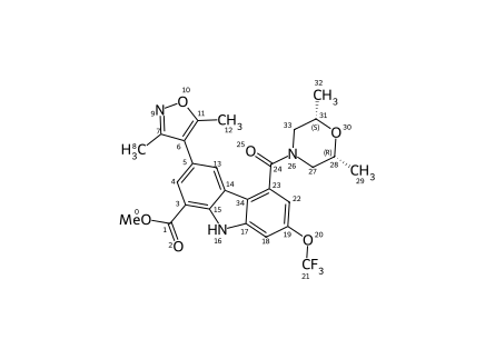 COC(=O)c1cc(-c2c(C)noc2C)cc2c1[nH]c1cc(OC(F)(F)F)cc(C(=O)N3C[C@@H](C)O[C@@H](C)C3)c12